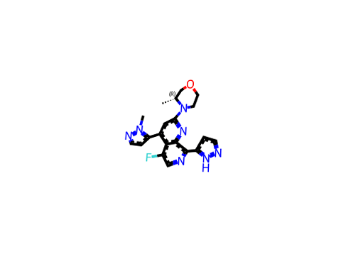 C[C@@H]1COCCN1c1cc(-c2ccnn2C)c2c(F)cnc(-c3ccn[nH]3)c2n1